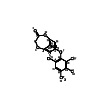 O=C1COc2nc(Oc3c(Cl)cc(C(F)(F)F)c(Cl)c3Cl)cc(c2[N+](=O)[O-])O1